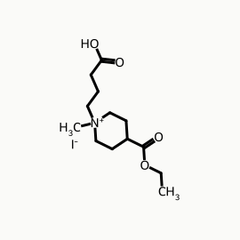 CCOC(=O)C1CC[N+](C)(CCCC(=O)O)CC1.[I-]